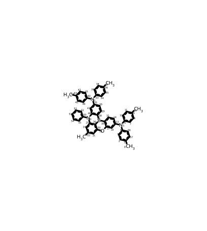 Cc1ccc(N(c2ccc(C)cc2)c2ccc3c(c2)Oc2cc(C)cc4c2B3c2ccc(N(c3ccc(C)cc3)c3ccc(C)cc3)cc2N4c2ccccc2)cc1